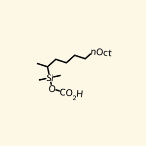 CCCCCCCCCCCCC(C)[Si](C)(C)OC(=O)O